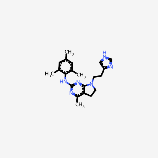 Cc1cc(C)c(Nc2nc(C)c3c(n2)N(CCc2c[nH]cn2)CC3)c(C)c1